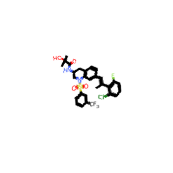 CC(=Cc1ccc2c(c1)N(S(=O)(=O)c1cccc(C(F)(F)F)c1)CC(NC(=O)C(C)(C)O)C2)c1c(F)cccc1Cl